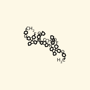 C=Cc1ccc(Oc2ccc(C3(c4ccc(F)cc4)c4ccccc4-c4ccc(N(c5ccc6c(c5)C(C)(C)c5cc(N(c7ccc8c(c7)C(c7ccc(F)cc7)(c7ccc(Oc9ccc(C=C)cc9)cc7)c7ccccc7-8)c7ccc8oc9ccccc9c8c7)ccc5-6)c5ccc6oc7ccccc7c6c5)cc43)cc2)cc1